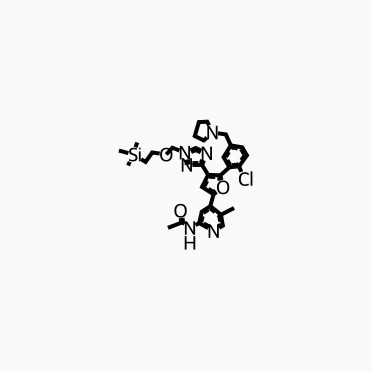 CC(=O)Nc1cc(-c2cc(-c3ncn(COCC[Si](C)(C)C)n3)c(-c3cc(CN4CCCC4)ccc3Cl)o2)c(C)cn1